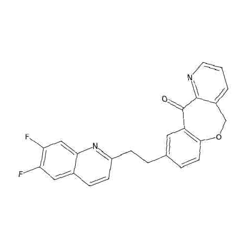 O=C1c2cc(CCc3ccc4cc(F)c(F)cc4n3)ccc2OCc2cccnc21